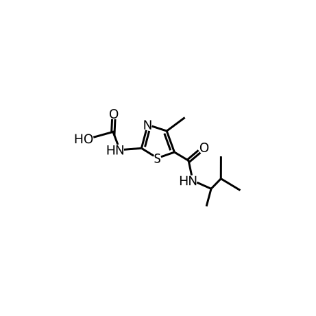 Cc1nc(NC(=O)O)sc1C(=O)NC(C)C(C)C